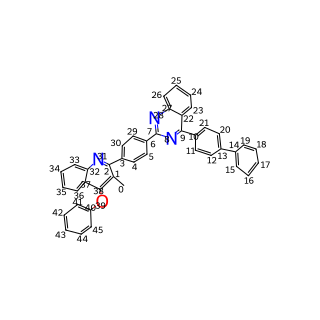 Cc1c(-c2ccc(-c3nc(-c4ccc(-c5ccccc5)cc4)c4ccccc4n3)cc2)nc2ccccc2c1Oc1ccccc1